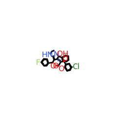 O=C1Oc2ccc(Cl)cc2C(=O)/C1=C1/C(C(=O)c2ccc(F)cc2)=C2NCCN2C1(O)c1ccccc1